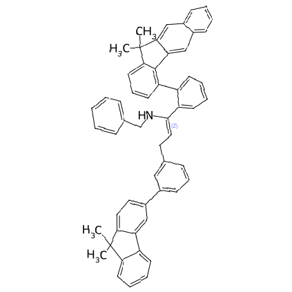 CC1(C)c2ccccc2-c2cc(-c3cccc(C/C=C(\NCc4ccccc4)c4ccccc4-c4cccc5c4-c4cc6ccccc6cc4C5(C)C)c3)ccc21